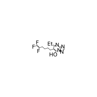 CCc1nc2ncnn2c(O)c1CCCCC(F)=C(F)F